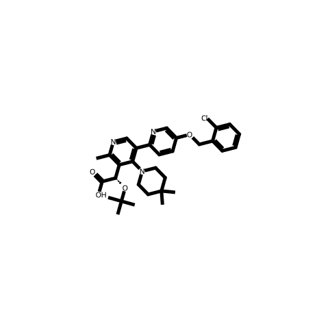 Cc1ncc(-c2ccc(OCc3ccccc3Cl)cn2)c(N2CCC(C)(C)CC2)c1[C@H](OC(C)(C)C)C(=O)O